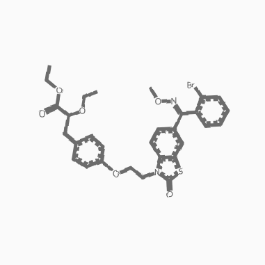 CCOC(=O)C(Cc1ccc(OCCn2c(=O)sc3cc(/C(=N\OC)c4ccccc4Br)ccc32)cc1)OCC